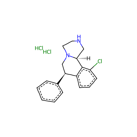 Cl.Cl.Clc1cccc2c1[C@@H]1CNCCN1C[C@@H]2c1ccccc1